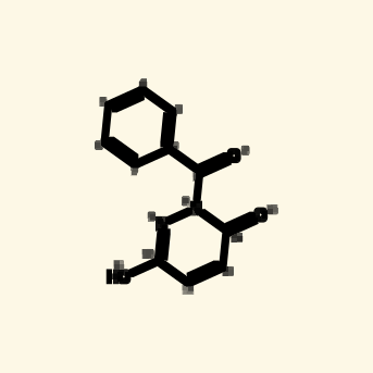 O=C(c1ccccc1)n1nc(O)ccc1=O